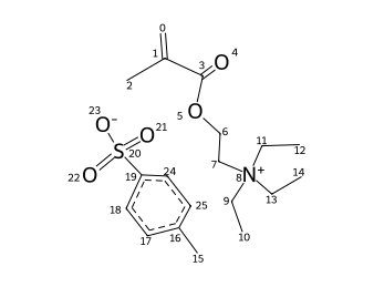 C=C(C)C(=O)OCC[N+](CC)(CC)CC.Cc1ccc(S(=O)(=O)[O-])cc1